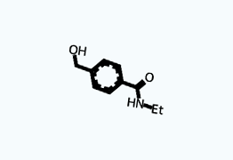 CCNC(=O)c1ccc(CO)cc1